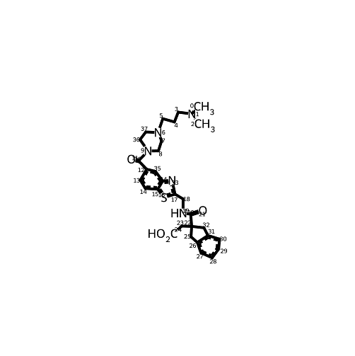 CN(C)CCCN1CCN(C(=O)c2ccc3sc(CNC(=O)C4(CC(=O)O)Cc5ccccc5C4)nc3c2)CC1